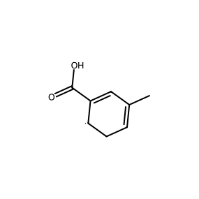 CC1=CC[CH]C(C(=O)O)=C1